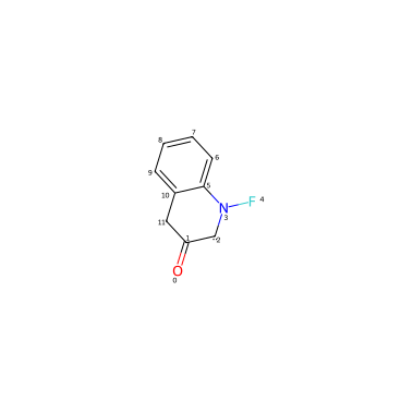 O=C1[C]N(F)c2ccccc2C1